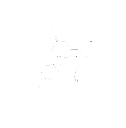 CC1(C)OC(=O)C2(C(=O)O1)C(c1ccccc1)CC(=O)CC2c1ccc([N+](=O)[O-])cc1